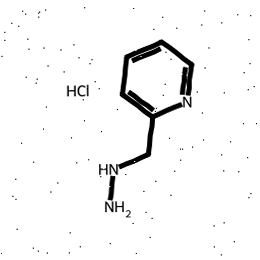 Cl.NNCc1ccccn1